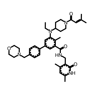 CCN(c1cc(-c2ccc(CN3CCOCC3)cc2)cc(C(=O)NCc2c(C)cc(C)[nH]c2=O)c1C)C1CCN(C(=O)C=C(C)C)CC1